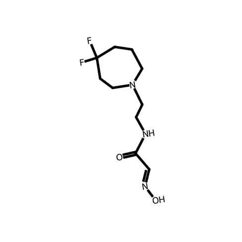 O=C(C=NO)NCCN1CCCC(F)(F)CC1